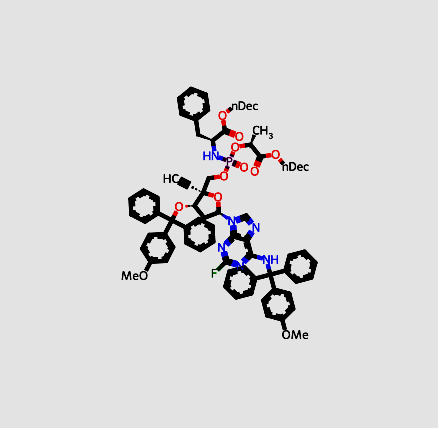 C#C[C@]1(COP(=O)(N[C@@H](Cc2ccccc2)C(=O)OCCCCCCCCCC)O[C@@H](C)C(=O)OCCCCCCCCCC)O[C@@H](n2cnc3c(NC(c4ccccc4)(c4ccccc4)c4ccc(OC)cc4)nc(F)nc32)C[C@@H]1OC(c1ccccc1)(c1ccccc1)c1ccc(OC)cc1